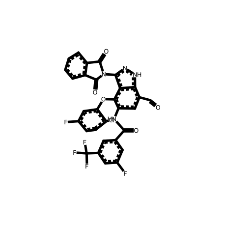 O=Cc1cc(NC(=O)c2cc(F)cc(C(F)(F)F)c2)c(Oc2cc(F)ccc2Cl)c2c(N3C(=O)c4ccccc4C3=O)n[nH]c12